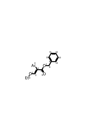 CCO/C=C(\C(C)=O)C(=O)OCc1ccccc1